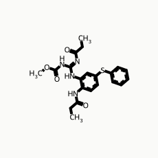 CCC(=O)N=C(NC(=O)OC)Nc1cc(Sc2ccccc2)ccc1NC(=O)CC